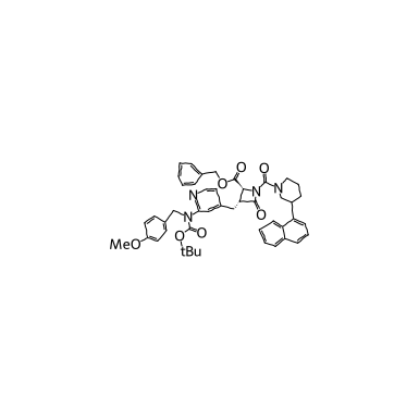 COc1ccc(CN(C(=O)OC(C)(C)C)c2cc(C[C@H]3C(=O)N(C(=O)N4CCCC(c5cccc6ccccc56)C4)[C@@H]3C(=O)OCc3ccccc3)ccn2)cc1